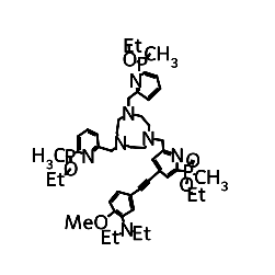 CCOP(C)c1cccc(CN2CCN(Cc3cccc(P(C)OCC)n3)CCN(Cc3cc(C#Cc4ccc(OC)c(N(CC)CC)c4)cc(P(C)(=O)OCC)n3)CC2)n1